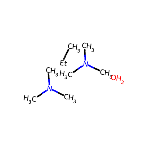 CCC.CN(C)C.CN(C)C.O